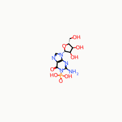 Nc1nc2c(ncn2[C@@H]2O[C@H](CO)[C@@H](O)[C@H]2O)c(=O)n1P(=O)(O)O